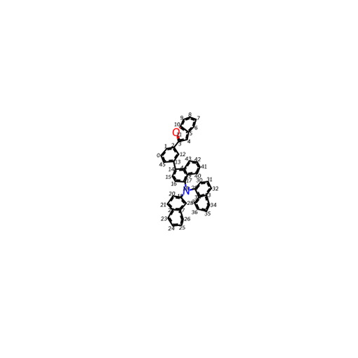 c1cc(-c2cc3ccccc3o2)cc(-c2ccc(N(c3ccc4ccccc4c3)c3cccc4ccccc34)c3ccccc23)c1